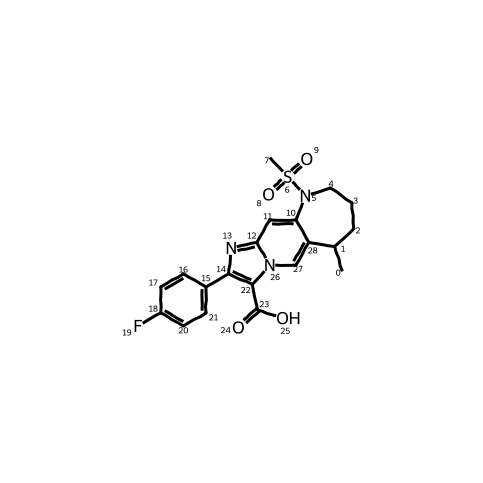 CC1CCCN(S(C)(=O)=O)c2cc3nc(-c4ccc(F)cc4)c(C(=O)O)n3cc21